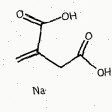 C=C(CC(=O)O)C(=O)O.[Na]